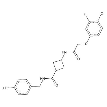 O=C(COc1ccc(Cl)c(F)c1)NC1CC(C(=O)NCc2ccc(Cl)cc2)C1